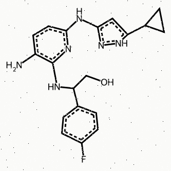 Nc1ccc(Nc2cc(C3CC3)[nH]n2)nc1NC(CO)c1ccc(F)cc1